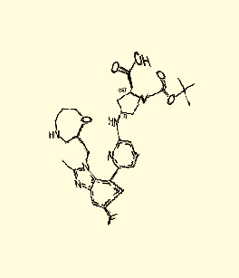 Cc1nc2cc(F)cc(-c3cccc(N[C@H]4C[C@@H](C(=O)O)N(C(=O)OC(C)(C)C)C4)n3)c2n1CC1CNCCCO1